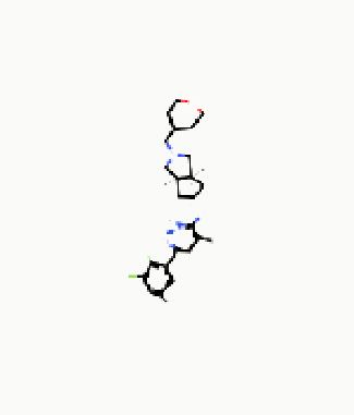 Cc1cc(F)c(F)c(-c2cc(C(F)(F)F)c(N[C@@H]3C[C@@H]4CN(CC5CCOCC5)C[C@@H]4C3)nn2)c1